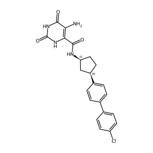 Nc1c(C(=O)N[C@H]2CC[C@@H](c3ccc(-c4ccc(Cl)cc4)cc3)C2)[nH]c(=O)[nH]c1=O